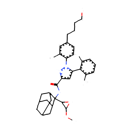 COc1cccc(OC)c1-c1cc(C(=O)NC2(C3OC3OC(C)(C)C)C3CC4CC(C3)CC2C4)nn1-c1ccc(CCCCO)cc1C(C)C